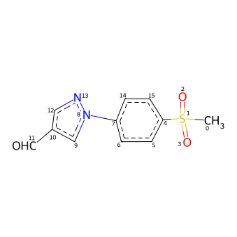 CS(=O)(=O)c1ccc(-n2cc(C=O)cn2)cc1